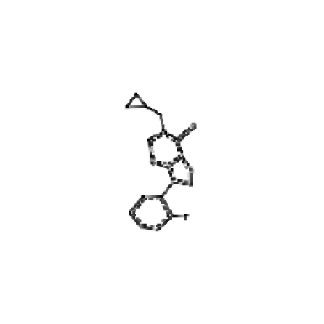 O=c1c2scc(-c3ccccc3F)c2ncn1CC1CC1